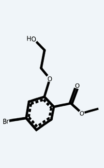 COC(=O)c1ccc(Br)cc1OCCO